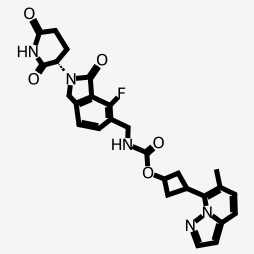 Cc1ccc2ccnn2c1C1CC(OC(=O)NCc2ccc3c(c2F)C(=O)N([C@H]2CCC(=O)NC2=O)C3)C1